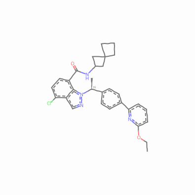 CCOc1cccc(-c2ccc([C@H](C)n3ncc4c(Cl)ccc(C(=O)NC5CC6(CCC6)C5)c43)cc2)n1